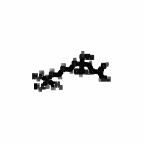 CCC(C)C(=O)OC[Si](OC)(OC)OCOCO[Si](C)(C)C